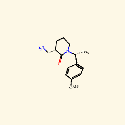 COc1ccc([C@@H](C)N2CCC[C@@H](CN)C2=O)cc1